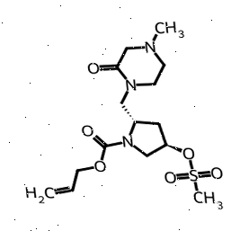 C=CCOC(=O)N1C[C@H](OS(C)(=O)=O)C[C@H]1CN1CCN(C)CC1=O